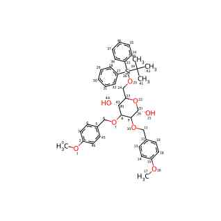 COc1ccc(COC2C(OCc3ccc(OC)cc3)[C@@H](O)OC(CO[Si](c3ccccc3)(c3ccccc3)C(C)(C)C)[C@H]2O)cc1